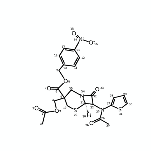 CC(=O)OCC1(C(=O)OCc2ccc([N+](=O)[O-])cc2)CS[C@@H]2C(N(C(C)=O)c3cccs3)C(=O)N2C1